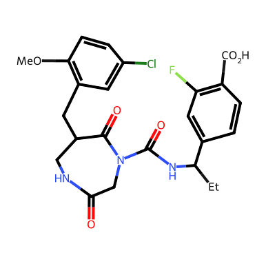 CCC(NC(=O)N1CC(=O)NCC(Cc2cc(Cl)ccc2OC)C1=O)c1ccc(C(=O)O)c(F)c1